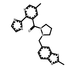 Cc1cnc(-c2nccs2)c(C(=O)N2CCCN2Cc2ccc3nc(C)sc3c2)c1